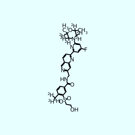 [2H]C([2H])([2H])c1ccc(C(=O)NCc2cc3nc(-c4cc(F)cc(N5C([2H])([2H])C([2H])(C)OC([2H])(C)C5([2H])[2H])n4)ccc3cn2)cc1S(=O)(=O)CCO